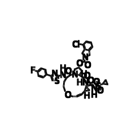 O=C1N[C@]2(C(=O)NS(=O)(=O)C3CC3)C[C@H]2C=CCOCCC[C@H](Nc2nc(-c3ccc(F)cc3)cs2)C(=O)N2C[C@H](OC(=O)N3Cc4cccc(Cl)c4C3)C[C@@H]12